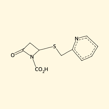 O=C(O)N1C(=O)CC1SCc1ccccn1